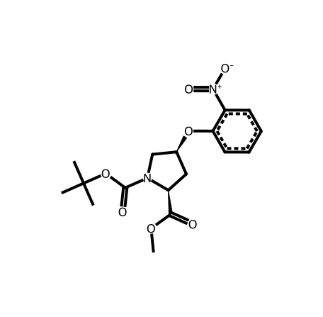 COC(=O)[C@@H]1C[C@H](Oc2ccccc2[N+](=O)[O-])CN1C(=O)OC(C)(C)C